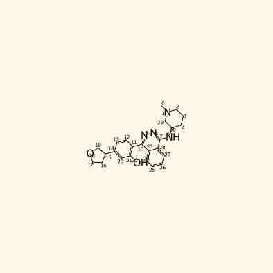 CN1CCC[C@@H](Nc2nnc(-c3ccc(C4CCOC4)cc3O)c3ccccc23)C1